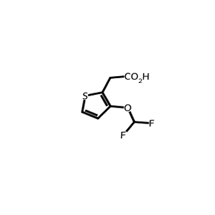 O=C(O)Cc1sccc1OC(F)F